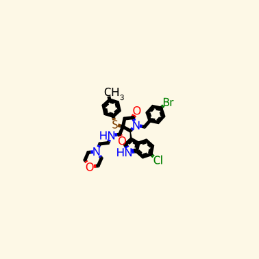 Cc1ccc(SC2(C(=O)NCCN3CCOCC3)CC(=O)N(Cc3ccc(Br)cc3)[C@H]2c2c[nH]c3cc(Cl)ccc23)cc1